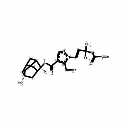 COC(=O)NC(C)(C)/C=C/n1ncc(C(=O)N[C@H]2C3CC4CC2C[C@](O)(C4)C3)c1CC(C)C